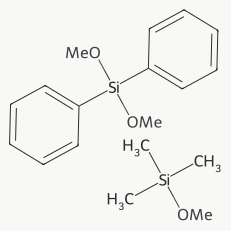 CO[Si](C)(C)C.CO[Si](OC)(c1ccccc1)c1ccccc1